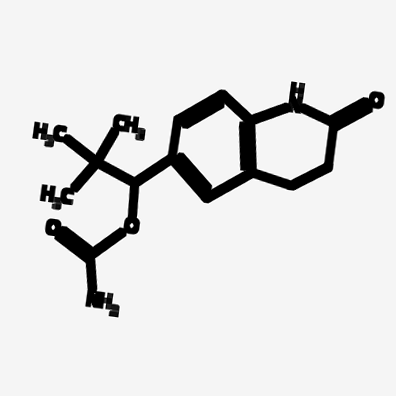 CC(C)(C)C(OC(N)=O)c1ccc2c(c1)CCC(=O)N2